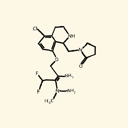 CN(N)/C(=C(\N)COc1ccc(Cl)c2c1C(CN1CCCC1=O)NCC2)C(F)F